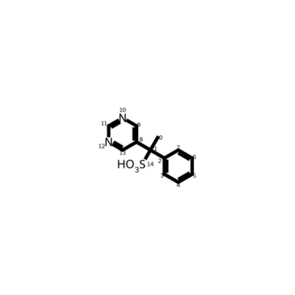 CC(c1ccccc1)(c1cncnc1)S(=O)(=O)O